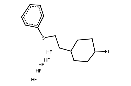 CCC1CCC(CCSc2ccccc2)CC1.F.F.F.F.F